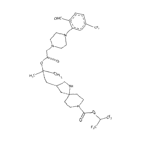 CC(C)(CC1CNC2(CCN(C(=O)OC(C(F)(F)F)C(F)(F)F)CC2)C1)OC(=O)CN1CCN(c2cc(C(F)(F)F)ccc2C=O)CC1